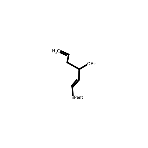 C=CCC(/C=C/CCCCC)OC(C)=O